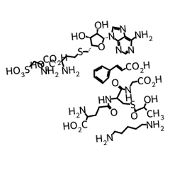 CC(O)C(=O)SCC(NC(=O)CCC(N)C(=O)O)C(=O)NCC(=O)O.NCCCCCN.N[C@@H](CS(=O)(=O)O)C(=O)O.Nc1ncnc2c1ncn2[C@@H]1O[C@H](CSCC[C@H](N)C(=O)O)[C@@H](O)[C@H]1O.O=C(O)/C=C/c1ccccc1